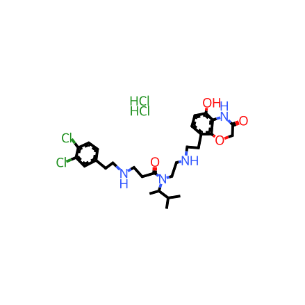 CC(C)C(C)N(CCNCCc1ccc(O)c2c1OCC(=O)N2)C(=O)CCNCCc1ccc(Cl)c(Cl)c1.Cl.Cl